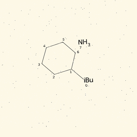 CCC(C)C1CCCCC1.N